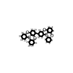 c1ccc2c(c1)Oc1cccc3c1B2c1ccc(-c2ccc4c5c2Oc2ccccc2B5c2ccccc2O4)cc1O3